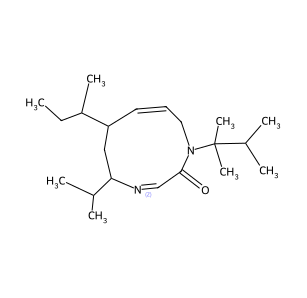 CCC(C)C1C=CCN(C(C)(C)C(C)C)C(=O)/C=N\C(C(C)C)C1